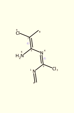 C=N/C(Cl)=N\C(N)=C(/C)Cl